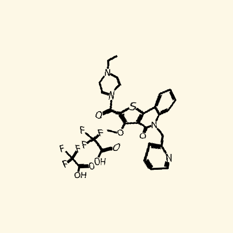 CCN1CCN(C(=O)c2sc3c(c2OC)c(=O)n(Cc2ccccn2)c2ccccc32)CC1.O=C(O)C(F)(F)F.O=C(O)C(F)(F)F